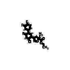 CCOC(=O)C1(C)CC(c2cc(-c3cnc(F)c(F)c3)c(F)cc2Cl)=NO1